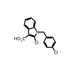 O=C(O)c1c(Cl)n(Cc2ccc(Cl)cc2)c2ccccc12